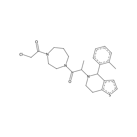 Cc1ccccc1C1c2ccsc2CCN1C(C)C(=O)N1CCCN(C(=O)CCl)CC1